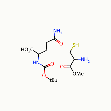 CC(C)(C)OC(=O)NC(CCC(N)=O)C(=O)O.COC(=O)C(N)CS